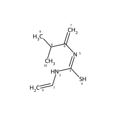 C=CN/C(S)=N\C(=C)C(C)C